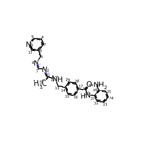 C/C(=N\C=N/Cc1cccnc1)NCc1ccc(C(=O)Nc2ccccc2N)cc1